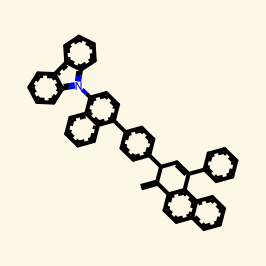 C=C1c2ccc3ccccc3c2C(c2ccccc2)=CC1c1ccc(-c2ccc(-n3c4ccccc4c4ccccc43)c3ccccc23)cc1